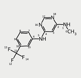 CNc1cc(Nc2cccc(C(F)(F)F)c2)ncn1